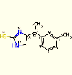 Cc1cccc([C@H](C)C2CNC(S)=N2)c1